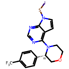 FC(F)(F)c1ccc([C@H]2COCCN2c2ncnc3c2ccn3SI)cc1